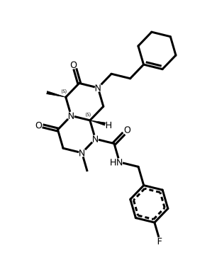 C[C@H]1C(=O)N(CCC2=CCCCC2)C[C@H]2N1C(=O)CN(C)N2C(=O)NCc1ccc(F)cc1